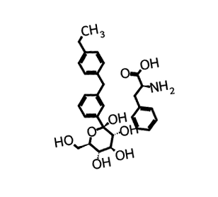 CCc1ccc(Cc2cccc([C@@]3(O)O[C@H](CO)[C@@H](O)[C@H](O)[C@H]3O)c2)cc1.N[C@@H](Cc1ccccc1)C(=O)O